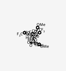 CCCCCCCCCCCNc1c(N[C@H]2C(COCc3ccc(OC)cc3)OCC(NC(=O)Nc3cccc(C(F)(F)F)c3)[C@H]2O[C@@H]2OC(COCc3ccc(OC)cc3)[C@@H](C)[C@H](C)C2NC(=O)Nc2cccc(C(F)(F)F)c2)c(=O)c1=O